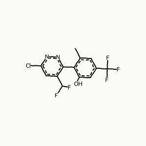 Cc1cc(C(F)(F)F)cc(O)c1-c1nnc(Cl)cc1C(F)F